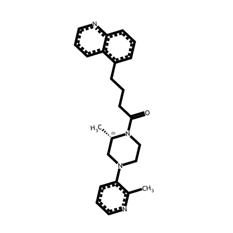 Cc1ncccc1N1CCN(C(=O)CCCc2cccc3ncccc23)[C@@H](C)C1